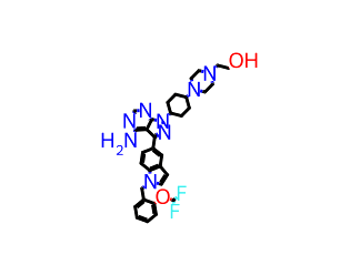 Nc1ncnc2c1c(-c1ccc3c(ccn3Cc3ccccc3OC(F)F)c1)nn2C1CCC(N2CCN(CCO)CC2)CC1